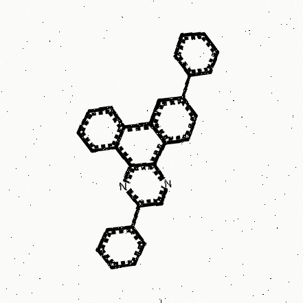 c1ccc(-c2ccc3c(c2)c2ccccc2c2nc(-c4ccccc4)cnc32)cc1